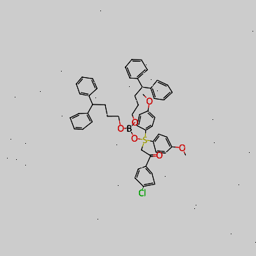 COc1ccc(S(CC(=O)c2ccc(Cl)cc2)(OB(OCCCC(c2ccccc2)c2ccccc2)OCCCC(c2ccccc2)c2ccccc2)c2ccc(OC)cc2)cc1